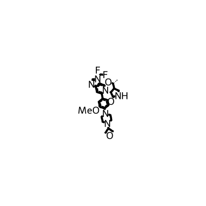 COc1cc(-c2cc3ncn(C(F)F)c3c(O[C@H](C)C3CNC(=O)C3)n2)ccc1N1CCN(C2COC2)CC1